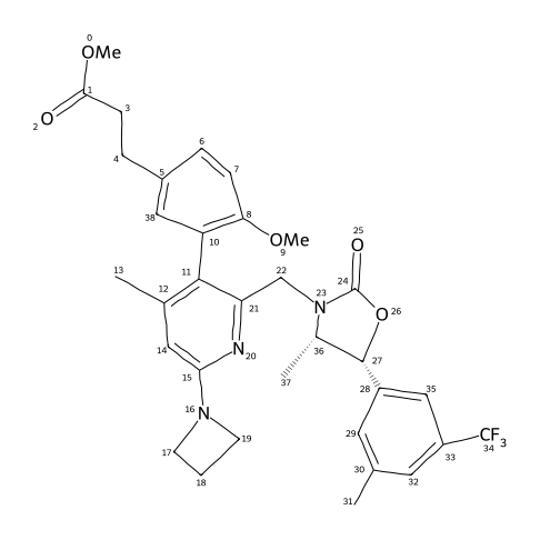 COC(=O)CCc1ccc(OC)c(-c2c(C)cc(N3CCC3)nc2CN2C(=O)O[C@H](c3cc(C)cc(C(F)(F)F)c3)[C@@H]2C)c1